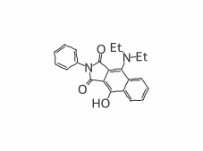 CCN(CC)c1c2c(c(O)c3ccccc13)C(=O)N(c1ccccc1)C2=O